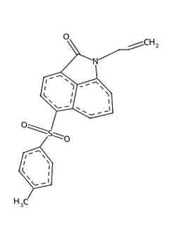 C=CCN1C(=O)c2ccc(S(=O)(=O)c3ccc(C)cc3)c3cccc1c23